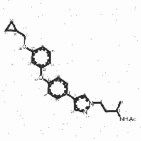 CC(=O)NC(C)CCn1cc(-c2ccc(Oc3cccc(OCC4CC4)c3)cc2)cn1